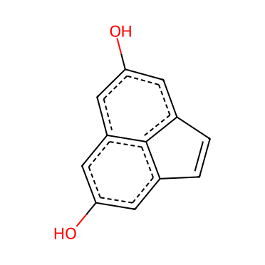 Oc1cc2c3c(cc(O)cc3c1)C=C2